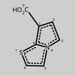 O=C(O)c1ccn2ccsc12